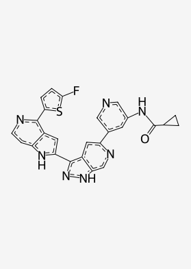 O=C(Nc1cncc(-c2cc3c(-c4cc5c(-c6ccc(F)s6)nccc5[nH]4)n[nH]c3cn2)c1)C1CC1